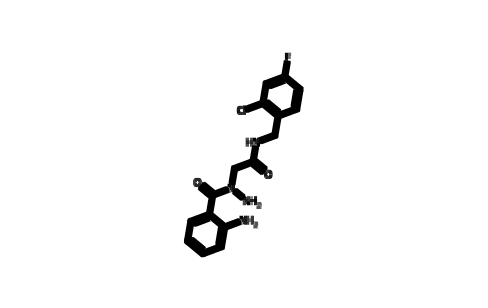 Nc1ccccc1C(=O)N(N)CC(=O)NCc1ccc(F)cc1Cl